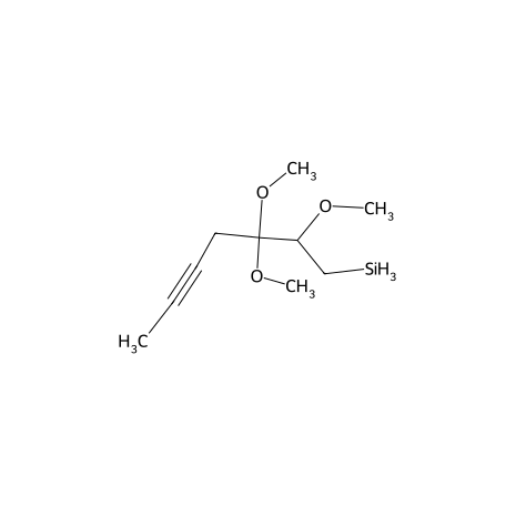 CC#CCC(OC)(OC)C(C[SiH3])OC